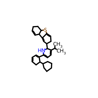 CC(C)C1=CC=C(C2=CC=CCC2C2CCCCC2)NC1C1C=C2C(=CC1)SC1CCC=CC21